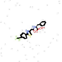 O=C(Cc1csc(-c2ccc(C(F)(F)F)cc2)n1)N[C@@H](Cc1ccccc1)C(=O)O